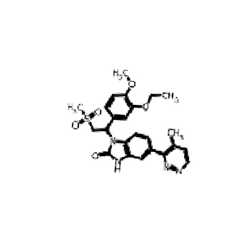 CCOc1cc(C(CS(C)(=O)=O)n2c(=O)[nH]c3cc(-c4nnccc4C)ccc32)ccc1OC